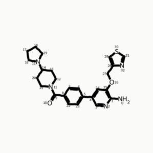 Nc1ncc(-c2ccc(C(=O)N3CCC(N4CCCC4)CC3)cc2)cc1OCc1cscn1